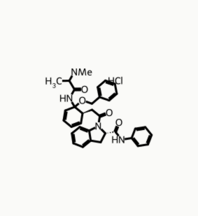 CNC(C)C(=O)NC1(OCc2ccccc2)C=CC=C[C@@H]1CC(=O)N1c2ccccc2C[C@H]1C(=O)Nc1ccccc1.Cl